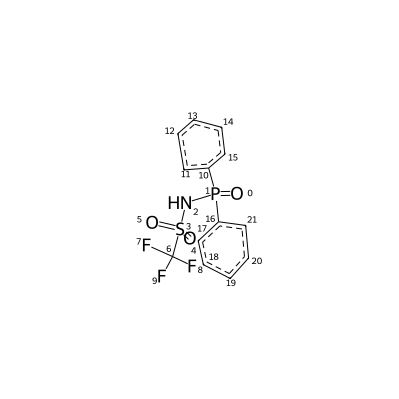 O=P(NS(=O)(=O)C(F)(F)F)(c1ccccc1)c1ccccc1